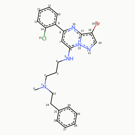 CN(CCCNc1cc(-c2ccccc2Cl)nc2c(Br)cnn12)CCc1ccccc1